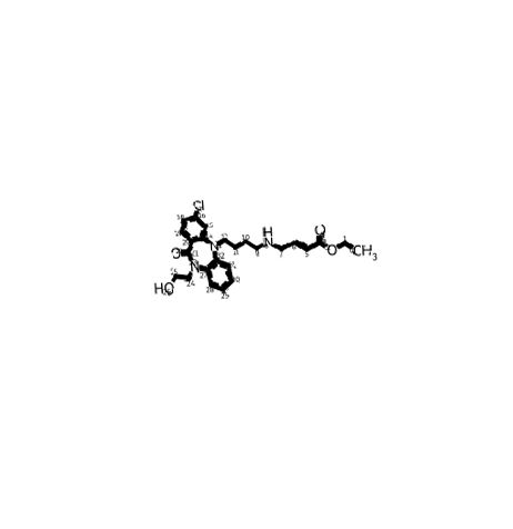 CCOC(=O)/C=C/CNCCCCN1c2cc(Cl)ccc2C(=O)N(CCO)c2ccccc21